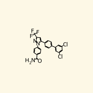 NC(=O)c1ccc(-n2nc(C(F)(F)F)cc2-c2ccc(-c3cc(Cl)cc(Cl)c3)cc2)cc1